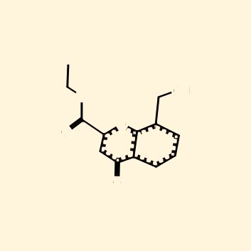 CCOC(=O)c1cc(=O)c2cccc(CO)c2o1